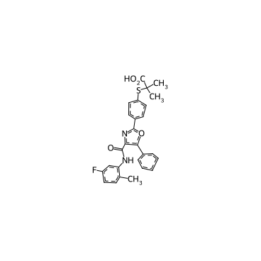 Cc1ccc(F)cc1NC(=O)c1nc(-c2ccc(SC(C)(C)C(=O)O)cc2)oc1-c1ccccc1